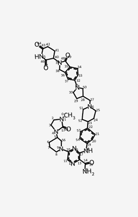 CN1CCN(C2CCCN(c3cnc(C(N)=O)c(Nc4ccc(C5CCN(CC6CCN(c7ccc8c(c7)CN(C7CCC(=O)NC7=O)C8=O)C6)CC5)cc4)n3)C2)C1=O